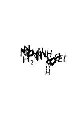 CCOc1ccc2[nH]cc(CCNc3ncc(-c4ccc5c(c4)nc(C)n5C)c(N)n3)c2c1